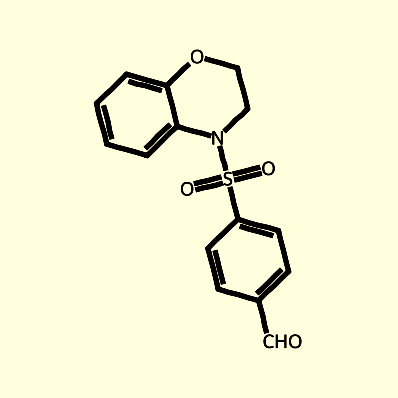 O=Cc1ccc(S(=O)(=O)N2CCOc3ccccc32)cc1